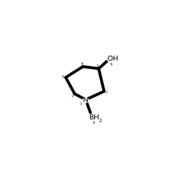 BN1CCCC(O)C1